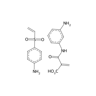 C=C(C(=O)O)C(=O)Nc1cccc(N)c1.C=CS(=O)(=O)c1ccc(N)cc1